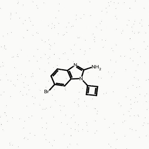 Nc1nc2ccc(Br)cc2n1C1=CC=C1